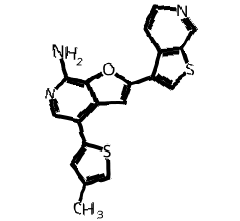 Cc1csc(-c2cnc(N)c3oc(-c4csc5cnccc45)cc23)c1